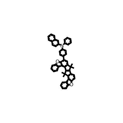 CC1(C)C2=C(c3c1cc(-c1ccc(N(c4ccccc4)c4ccc5ccccc5c4)cc1)c1oc4ccccc4c31)C(C)(C)c1c2ccc2oc3ccccc3c12